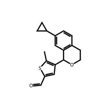 Cc1sc(C=O)cc1C1OCCc2ccc(C3CC3)cc21